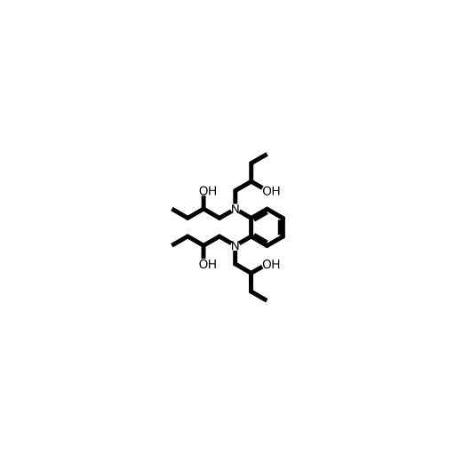 CCC(O)CN(CC(O)CC)c1ccccc1N(CC(O)CC)CC(O)CC